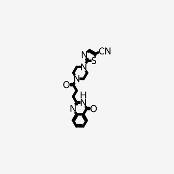 N#Cc1cnc(N2CCN(C(=O)CCc3nc4ccccc4c(=O)[nH]3)CC2)s1